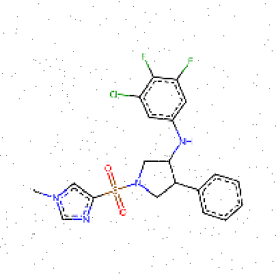 Cn1cnc(S(=O)(=O)N2CC(Nc3cc(F)c(F)c(Cl)c3)C(c3ccccc3)C2)c1